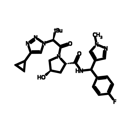 Cn1cc(C(NC(=O)[C@@H]2C[C@@H](O)CN2C(=O)[C@@H](n2cc(C3CC3)nn2)C(C)(C)C)c2ccc(F)cc2)cn1